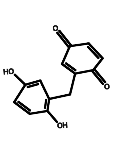 O=C1C=CC(=O)C(Cc2cc(O)ccc2O)=C1